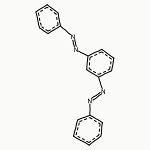 c1ccc(N=Nc2cccc(N=Nc3ccccc3)c2)cc1